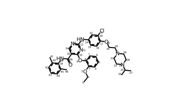 CCOc1ccccc1Oc1nc(Nc2ccc(OCCN3CCN(C(C)C)CC3)c(Cl)c2)ncc1C(=O)Nc1c(C)cccc1C